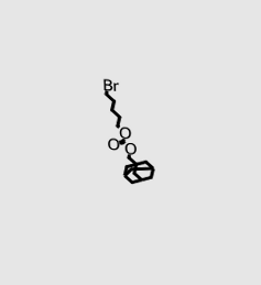 O=C(OCCCCCBr)OCC12CC3CC(CC(C3)C1)C2